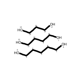 OCCCCCO.OCCCCO.OCCCO